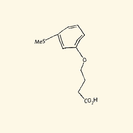 CSc1cccc(OCCCC(=O)O)c1